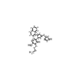 CSCC[C@H](NC(=O)c1cn(Cc2c[nH]cn2)cc1-c1cccc2ccccc12)C(=O)O